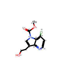 CC(C)(C)OC(=O)n1cc(CCO)c2nccc(Cl)c21